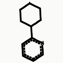 [CH]1CCC(c2ccccn2)CC1